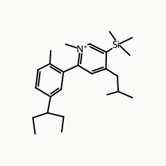 CCC(CC)c1ccc(C)c(-c2cc(CC(C)C)c([Si](C)(C)C)c[n+]2C)c1